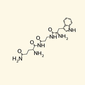 NC(=O)CCC(N)C(=O)NC(=O)CCNC(=O)[C@@H](N)Cc1c[nH]c2ccccc12